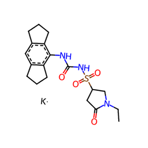 CCN1CC(S(=O)(=O)NC(=O)Nc2c3c(cc4c2CCC4)CCC3)CC1=O.[K]